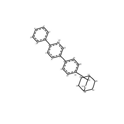 c1ccc(-c2ccc(-c3ccc(C4CC5CCC4CC5)cc3)cn2)cc1